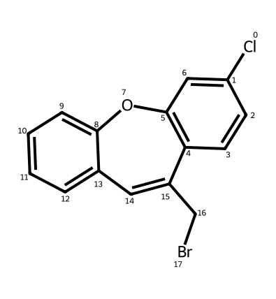 Clc1ccc2c(c1)Oc1ccccc1C=C2CBr